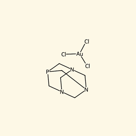 C1N2CN3CN1CP(C2)C3.[Cl][Au]([Cl])[Cl]